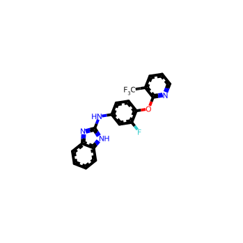 Fc1cc(Nc2nc3ccccc3[nH]2)ccc1Oc1ncccc1C(F)(F)F